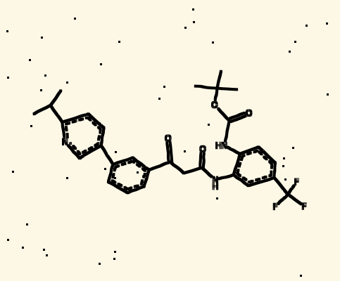 CC(C)c1ccc(-c2cccc(C(=O)CC(=O)Nc3cc(C(F)(F)F)ccc3NC(=O)OC(C)(C)C)c2)cn1